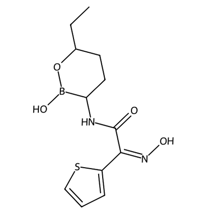 CCC1CCC(NC(=O)/C(=N\O)c2cccs2)B(O)O1